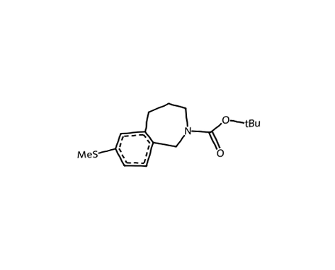 CSc1ccc2c(c1)CCCN(C(=O)OC(C)(C)C)C2